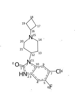 O=c1[nH]c2cc(F)c(Cl)cc2n1C1CCN(C2CCC2)CC1